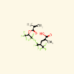 C=C(C)C(=O)OC(C(F)(F)F)C(F)(F)F.CC(=CC(C(F)(F)F)C(F)(F)F)C(=O)O